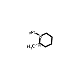 CCCN1CCCC[C@@H]1C